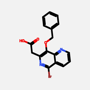 O=C(O)Cc1nc(Br)c2cccnc2c1OCc1ccccc1